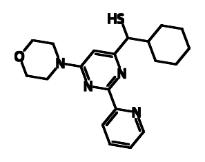 SC(c1cc(N2CCOCC2)nc(-c2ccccn2)n1)C1CCCCC1